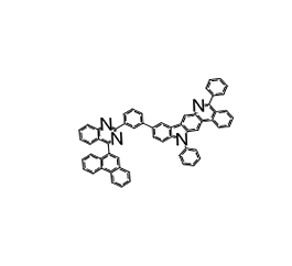 c1ccc(-c2nc3cc4c5cc(-c6cccc(-c7nc(-c8cc9ccccc9c9ccccc89)c8ccccc8n7)c6)ccc5n(-c5ccccc5)c4cc3c3ccccc23)cc1